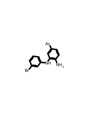 CC(=O)c1ccc(N)c(Nc2cccc(Br)c2)c1